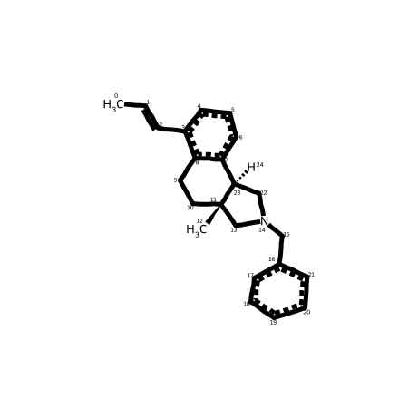 CC=Cc1cccc2c1CC[C@@]1(C)CN(Cc3ccccc3)C[C@H]21